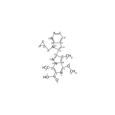 COc1nc(C(=O)O)c(C)n2nc(-c3cc4cccnc4n3CC3CC3)c(C)c12